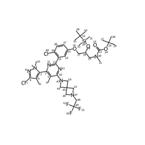 Cc1c(-c2c(C)c(Cl)nn2C)nc(-c2cc(OCC(CN(C)C(=O)OC(C)(C)C)O[Si](C)(C)C(C)(C)C)ccc2Cl)nc1N1CC2(CN(CC(F)(F)F)C2)C1